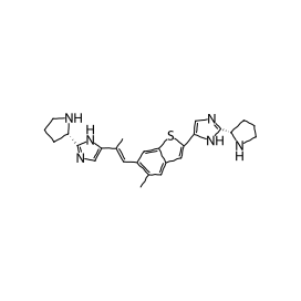 C/C(=C\c1cc2sc(-c3cnc([C@@H]4CCCN4)[nH]3)cc2cc1C)c1cnc([C@@H]2CCCN2)[nH]1